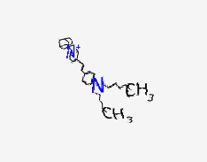 CCCCCCN(CCCCCC)c1ccc(/C=C/c2cc[n+](C34CC5CC(CC(C5)C3)C4)cc2)cc1